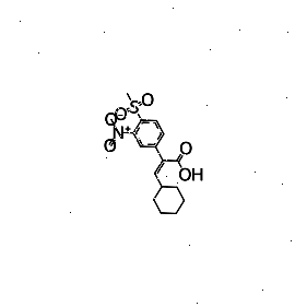 CS(=O)(=O)c1ccc(C(=CC2CCCCC2)C(=O)O)cc1[N+](=O)[O-]